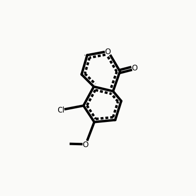 COc1ccc2c(=O)o[c]cc2c1Cl